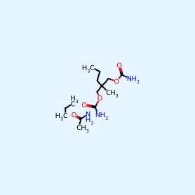 CC(N)=O.CCC.CCCC(C)(COC(N)=O)COC(N)=O